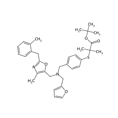 Cc1ccccc1Cc1nc(C)c(CN(Cc2ccc(SC(C)(C)C(=O)OC(C)(C)C)cc2)Cc2ccco2)o1